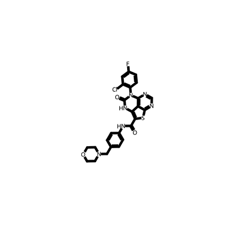 O=C(Nc1ccc(CN2CCOCC2)cc1)c1sc2ncnc3c2c1NC(=O)N3c1ccc(F)cc1Cl